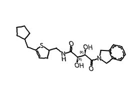 O=C(NCC1CC=C(CC2CCCC2)S1)[C@H](O)[C@@H](O)C(=O)N1Cc2ccccc2C1